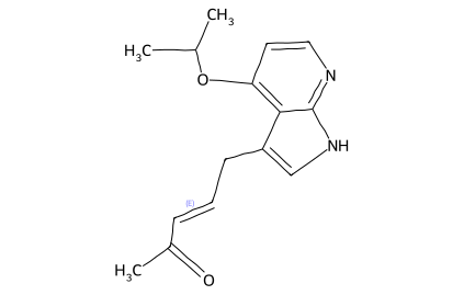 CC(=O)/C=C/Cc1c[nH]c2nccc(OC(C)C)c12